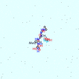 COc1ccc(CC(=O)NCc2ccc(N(C)C(=O)CCN3CCC(OC(=O)Nc4ccccc4-c4ccccc4)CC3)cc2)cc1C[C@H](C)NC[C@H](O)c1ccc(O)c2[nH]c(=O)ccc12.O=C(O)C(F)(F)F.O=C(O)C(F)(F)F